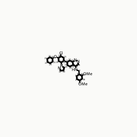 COc1ccc(CNc2cnnc3cc(-c4cc(Cl)c(Oc5ccccc5)cc4-n4cccn4)ccc23)c(OC)c1